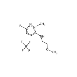 COCCNc1ccc(F)n[n+]1C.F[B-](F)(F)F